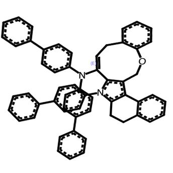 C1=C(/N(c2ccc(-c3ccccc3)cc2)c2ccc(-c3ccccc3)cc2)c2c(c3c(n2-c2ccc(-c4ccccc4)cc2)CCc2ccccc2-3)COc2ccccc2C/1